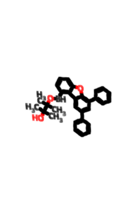 CC(C)(O)C(C)(C)OBc1cccc2oc3c(-c4ccccc4)cc(-c4ccccc4)cc3c12